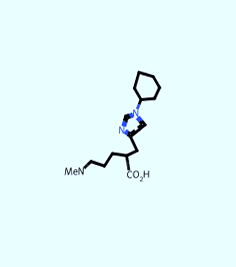 CNCCCC(Cc1cn(C2CCCCC2)cn1)C(=O)O